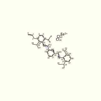 C=CCc1ccc(C(C)C)c(/N=C(\C)c2cccc(/C(C)=N/c3c(C(C)C)cccc3C(C)C)n2)c1C(C)C.[Cl-].[Cl-].[Fe+2]